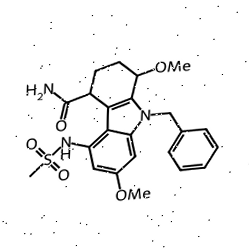 COc1cc(NS(C)(=O)=O)c2c3c(n(Cc4ccccc4)c2c1)C(OC)CCC3C(N)=O